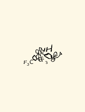 O=C(N[C@H](c1ccc(S(=O)(=O)CC2CC2)cc1)C1CCCN1)c1ccc(C(F)(F)F)cc1C(F)(F)F